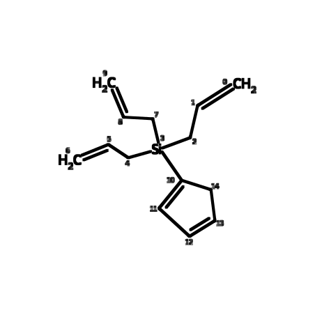 C=CC[Si](CC=C)(CC=C)C1=CC=CC1